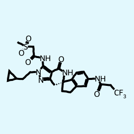 CS(=O)(=O)CC(=O)Nc1c2c(nn1CCC1CC1)C[C@]1(CCc3cc(NC(=O)CC(F)(F)F)ccc31)NC2=O